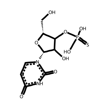 O=c1ccn([C@@H]2O[C@H](CO)C(OP(O)(O)=S)C2O)c(=O)[nH]1